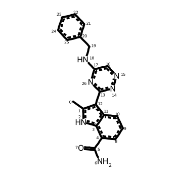 Cc1[nH]c2c(C(N)=O)cccc2c1-c1nncc(NCc2ccccc2)n1